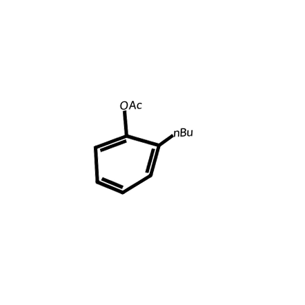 CCCCc1ccccc1OC(C)=O